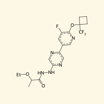 CCOC(C)C(=O)NNc1cnc(-c2cnc(OC3(C(F)(F)F)CCC3)c(F)c2)cn1